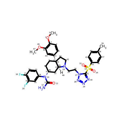 COc1ccc([C@@]23CC[C@@H](N(C(N)=O)c4ccc(F)c(F)c4)C[C@@H]2N(CCn2nnnc2S(=O)(=O)c2ccc(C)cc2)CC3)cc1OC